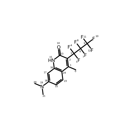 Cc1c(C(F)(F)C(F)(F)C(F)(F)F)c(=O)[nH]c2cc(N(C)C)ccc12